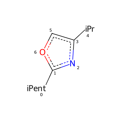 CCCC(C)c1nc(C(C)C)co1